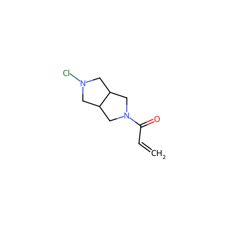 C=CC(=O)N1CC2CN(Cl)CC2C1